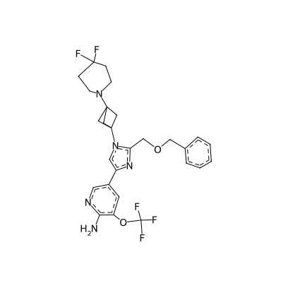 Nc1ncc(-c2cn(C34CC(N5CCC(F)(F)CC5)(C3)C4)c(COCc3ccccc3)n2)cc1OC(F)(F)F